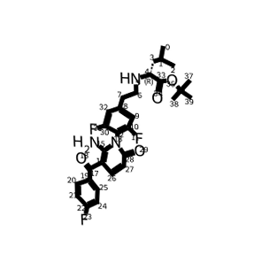 CC(C)C[C@@H](NCCc1cc(F)c(-n2c(N)c(C(=O)c3ccc(F)cc3)ccc2=O)c(F)c1)C(=O)OC(C)(C)C